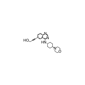 OCC#Cc1ccc2ncnc(N[C@H]3CC[C@H](N4CCOCC4)CC3)c2c1